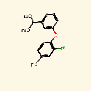 CC(C)COC(OCC(C)C)c1cccc(Oc2ccc(C(F)(F)F)cc2Cl)c1